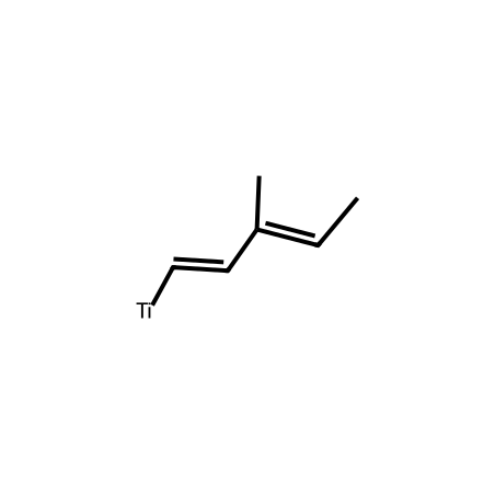 C/C=C(C)/C=[CH]/[Ti]